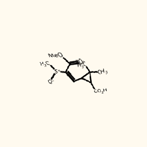 COC(=O)/C(=C\C1C(C(=O)O)C1(C)C)[S+](C)[O-]